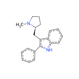 CN1CCC[C@H]1Cc1c(-c2ccccc2)[nH]c2ccccc12